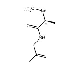 C=C(C)CNC(=O)[C@H](C)NC(=O)O